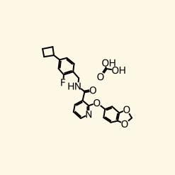 O=C(NCc1ccc(C2CCC2)cc1F)c1cccnc1Oc1ccc2c(c1)OCO2.O=C(O)O